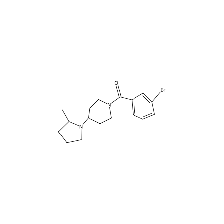 CC1CCCN1C1CCN(C(=O)c2cccc(Br)c2)CC1